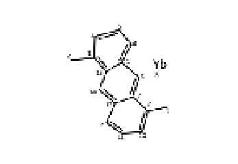 Cc1cccc2cc3c(C)cccc3cc12.[Yb]